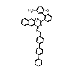 Bc1ccc2oc3cccc(/C(N)=N/C(=N\Cc4ccc(-c5ccc(C6=CCCC=C6)cc5)cc4)c4ccc5ccccc5c4)c3c2c1